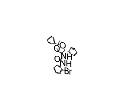 CC1(c2ccccc2)OC[C@H](NC(=O)Nc2ccccc2Br)[C@@H](c2ccccc2)O1